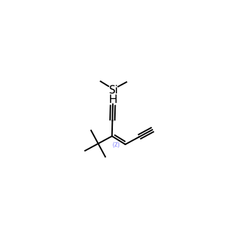 C#C/C=C(\C#C[SiH](C)C)C(C)(C)C